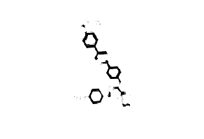 CCCCCCCOc1ccc(-c2cnc(-c3ccc(C[C@H](NC(=O)[C@H]4CC[C@H](C(C)(C)C)CC4)C(=O)N[C@H](C)C(=O)O)cc3)nc2)cc1